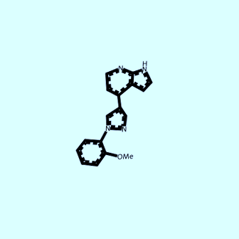 COc1ccccc1-n1cc(-c2ccnc3[nH]ccc23)cn1